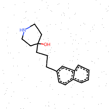 OC1(CCCc2ccc3ccccc3c2)CCNCC1